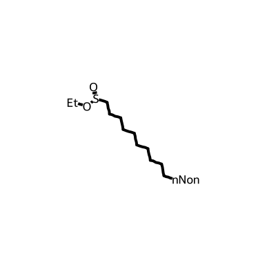 CCCCCCCCCCCCCCCCCCCS(=O)OCC